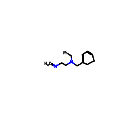 C=NCCN(CC1=CC=CCC1)CC(C)C